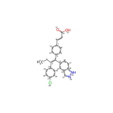 CCC(=C(c1ccc(C=CC(=O)O)cc1)c1ccc2[nH]ncc2c1)c1ccc(Cl)cc1